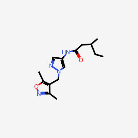 CCC(C)CC(=O)Nc1cnn(Cc2c(C)noc2C)c1